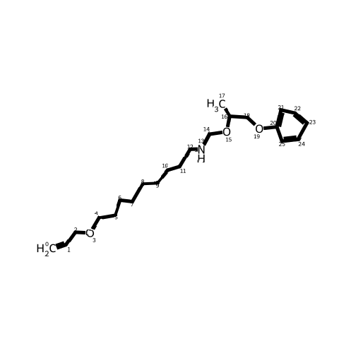 C=CCOCCCCCCCCCNCOC(C)COc1ccccc1